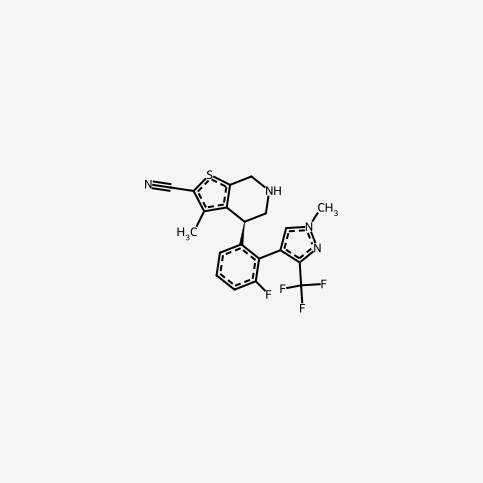 Cc1c(C#N)sc2c1[C@H](c1cccc(F)c1-c1cn(C)nc1C(F)(F)F)CNC2